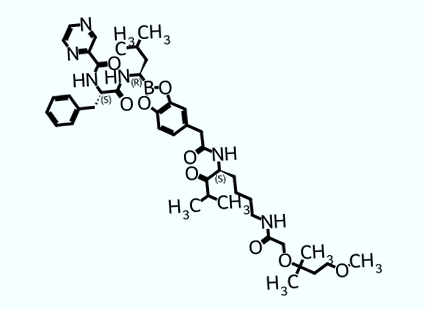 COCCC(C)(C)OCC(=O)NCCCC[C@H](NC(=O)Cc1ccc2c(c1)OB([C@H](CC(C)C)NC(=O)[C@H](Cc1ccccc1)NC(=O)c1cnccn1)O2)C(=O)C(C)C